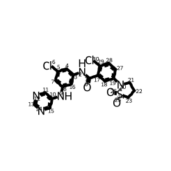 O=C(Nc1cc(Cl)cc(Nc2cncnc2)c1)c1cc(N2CCCS2(=O)=O)ccc1Cl